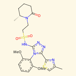 COc1cccc(OC)c1-n1c(NS(=O)(=O)CCN2C(=O)CCC[C@H]2C)nnc1-c1nc(C)cs1